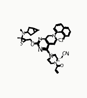 C=CC(=O)N1CCN(c2nc(OCC3S[C@]3(C)N(C)C3CC4CC4C3)nc3c2CCN(c2cccc4cccc(Cl)c24)C3)C[C@@H]1CC#N